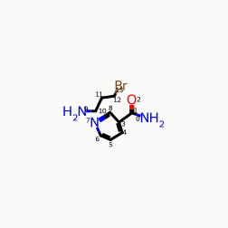 NC(=O)c1cccnc1.NCCCBr